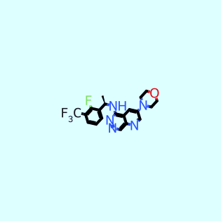 C[C@@H](Nc1nncc2ncc(N3CCOCC3)cc12)c1cccc(C(F)(F)F)c1F